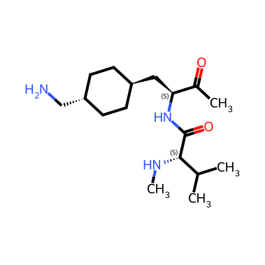 CN[C@H](C(=O)N[C@@H](C[C@H]1CC[C@H](CN)CC1)C(C)=O)C(C)C